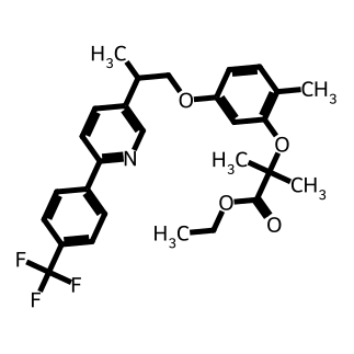 CCOC(=O)C(C)(C)Oc1cc(OCC(C)c2ccc(-c3ccc(C(F)(F)F)cc3)nc2)ccc1C